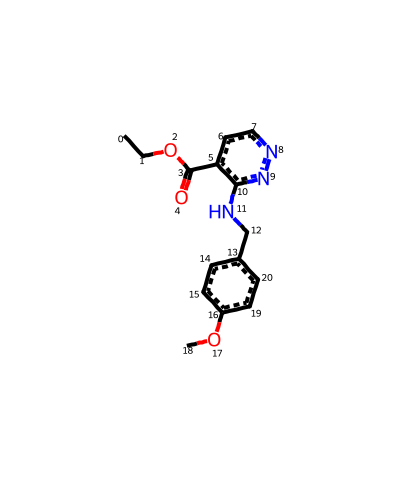 CCOC(=O)c1ccnnc1NCc1ccc(OC)cc1